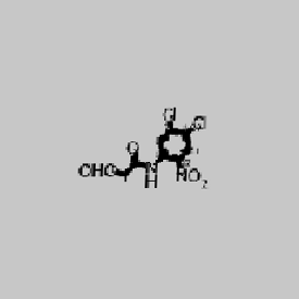 O=CCC(=O)Nc1cc(Cl)c(Cl)cc1[N+](=O)[O-]